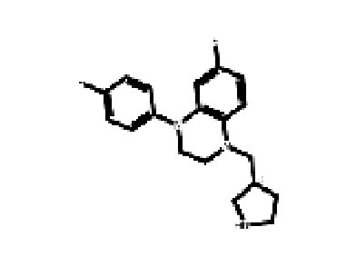 Fc1ccc(N2CCN(C[C@H]3CCNC3)c3ccc(F)cc32)cc1